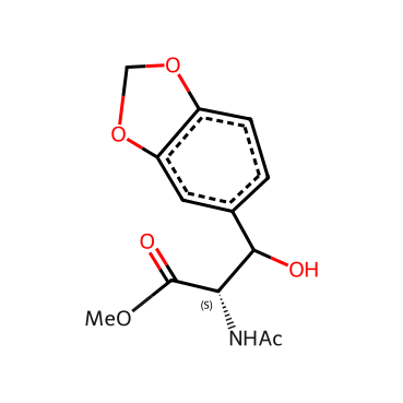 COC(=O)[C@@H](NC(C)=O)C(O)c1ccc2c(c1)OCO2